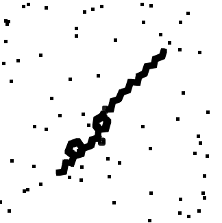 CCCCCCCCCCCCCCSc1ccc(C(=O)/C=C/c2cccc(CCCC)c2)cc1